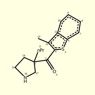 CCCC1(C(=O)c2sc3ccccc3c2C)CCNC1